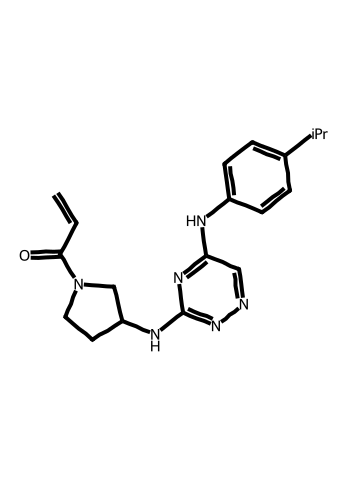 C=CC(=O)N1CCC(Nc2nncc(Nc3ccc(C(C)C)cc3)n2)C1